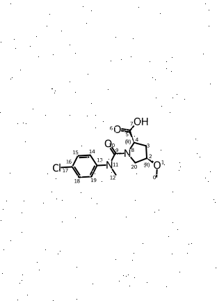 CO[C@@H]1C[C@H](C(=O)O)N(C(=O)N(C)c2ccc(Cl)cc2)C1